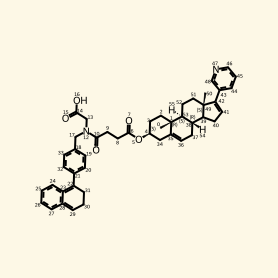 C[C@]12CC[C@H](OC(=O)CCC(=O)N(CC(=O)O)Cc3ccc(C4=c5ccccc5=CCC4)cc3)CC1=CC[C@H]1C3CC=C(c4cccnc4)[C@@]3(C)CC[C@@H]12